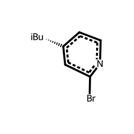 CC[C@@H](C)c1ccnc(Br)c1